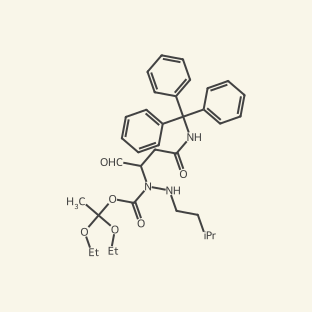 CCOC(C)(OCC)OC(=O)N(NCCC(C)C)C(C=O)CC(=O)NC(c1ccccc1)(c1ccccc1)c1ccccc1